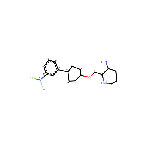 NC1CCCNC1COC1CCC(c2cccc(N(F)F)c2)CC1